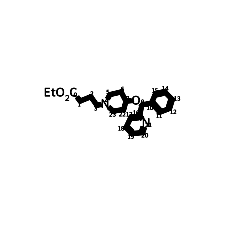 CCOC(=O)CCCN1CCC(OC(c2ccccc2)c2ccccn2)CC1